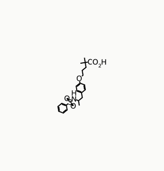 CC(Cc1ccc(OCCCC(C)(C)C(=O)O)cc1)NS(=O)(=O)c1ccccc1